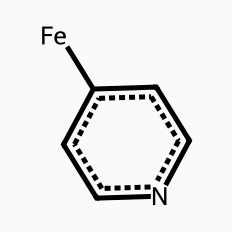 [Fe][c]1ccncc1